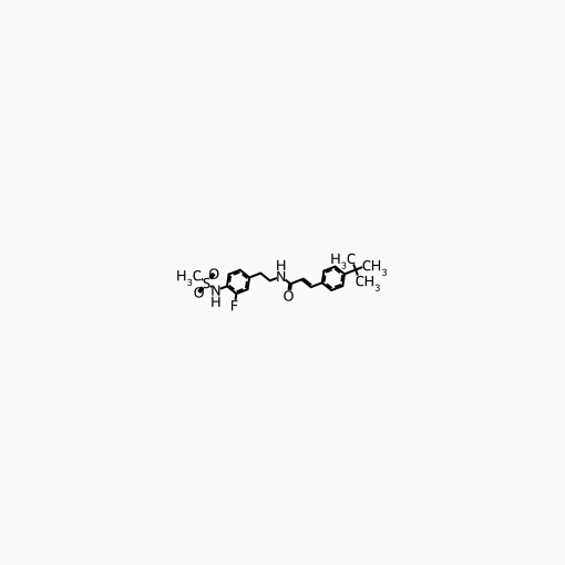 CC(C)(C)c1ccc(C=CC(=O)NCCc2ccc(NS(C)(=O)=O)c(F)c2)cc1